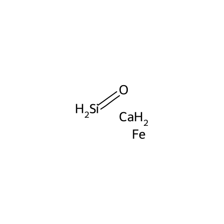 O=[SiH2].[CaH2].[Fe]